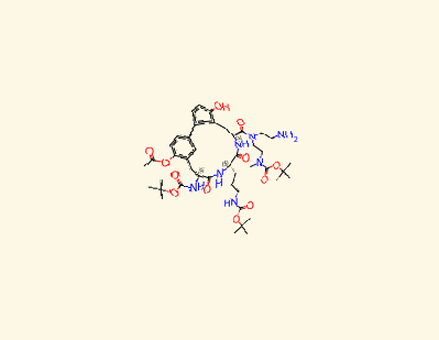 CC(=O)Oc1ccc2cc1C[C@H](NC(=O)OC(C)(C)C)C(=O)N[C@@H](CCCNC(=O)OC(C)(C)C)C(=O)N[C@H](C(=O)N(CCN)CCN(C)C(=O)OC(C)(C)C)Cc1cc-2ccc1O